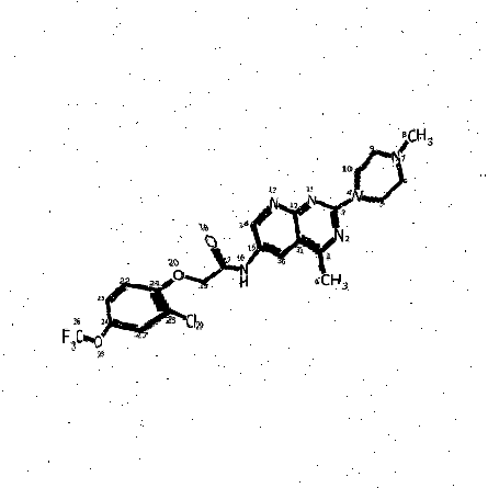 Cc1nc(N2CCN(C)CC2)nc2ncc(NC(=O)COc3ccc(OC(F)(F)F)cc3Cl)cc12